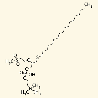 CCCCCCCCCCCCCCCCCCSCC(COP(=O)(O)OCC[N+](C)(C)C)OCCS(C)(=O)=O